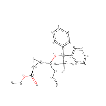 C=CCC(O[Si](c1ccccc1)(c1ccccc1)C(C)(C)C)[C@H]1C[C@@H]1C(=O)OCC